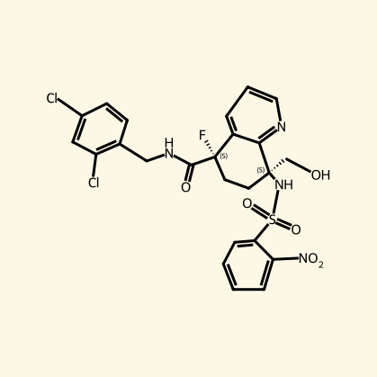 O=C(NCc1ccc(Cl)cc1Cl)[C@]1(F)CC[C@](CO)(NS(=O)(=O)c2ccccc2[N+](=O)[O-])c2ncccc21